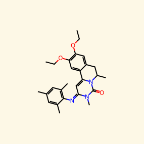 CCOc1cc2c(cc1OCC)-c1cc(=Nc3c(C)cc(C)cc3C)n(C)c(=O)n1C(C)C2